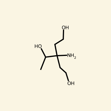 CC(O)C(N)(CCO)CCO